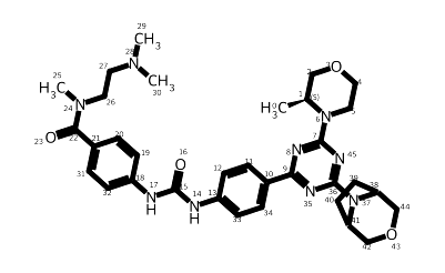 C[C@H]1COCCN1c1nc(-c2ccc(NC(=O)Nc3ccc(C(=O)N(C)CCN(C)C)cc3)cc2)nc(N2C3CCC2COC3)n1